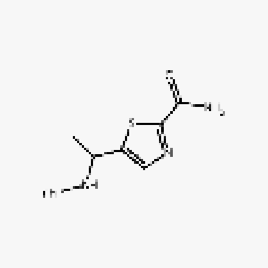 CCCNC(C)c1cnc(C(N)=O)s1